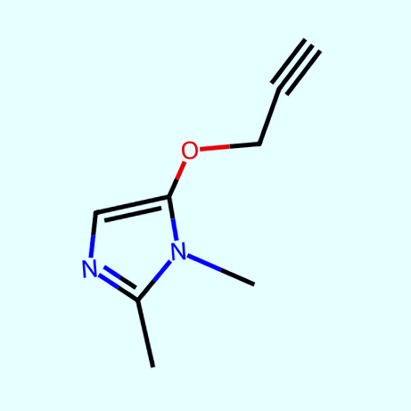 C#CCOc1cnc(C)n1C